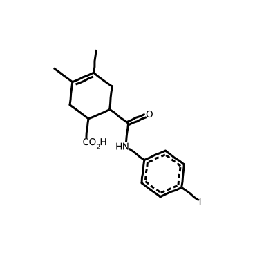 CC1=C(C)CC(C(=O)Nc2ccc(I)cc2)C(C(=O)O)C1